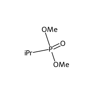 COP(=O)(OC)C(C)C